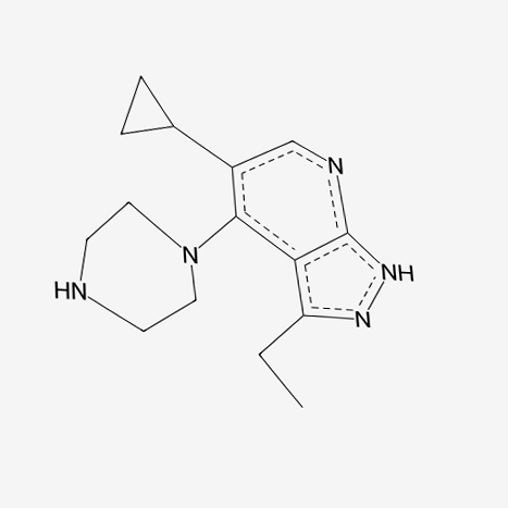 CCc1n[nH]c2ncc(C3CC3)c(N3CCNCC3)c12